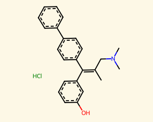 CC(CN(C)C)=C(c1ccc(-c2ccccc2)cc1)c1cccc(O)c1.Cl